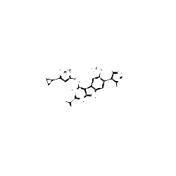 CCn1nc(C2CC2)cc1Nc1nc(C(=O)C(C)C)nc2[nH]c3cc(-c4c(C)noc4C)c(OC)cc3c12